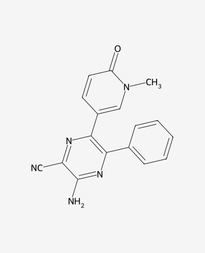 Cn1cc(-c2nc(C#N)c(N)nc2-c2ccccc2)ccc1=O